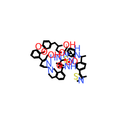 Cc1ncsc1-c1ccc(C(C)NC(=O)[C@@H]2C[C@@H](O)CN2C(=O)C(NC(=O)CC(C)Cc2ccc(Oc3cccc(-c4ccc(N5CCc6cccc(C(=O)Nc7nc8ccccc8s7)c6C5)nc4C(=O)O)c3C)cc2)C(C)(C)C)cc1